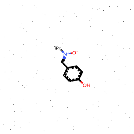 CC(C)[N+]([O-])=Cc1ccc(O)cc1